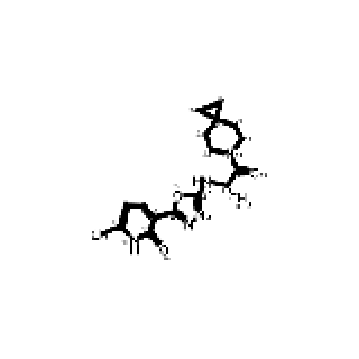 C[C@H](Nc1nnc(-c2ccc(Cl)[nH]c2=O)o1)C(=O)N1CCC2(CC1)CC2